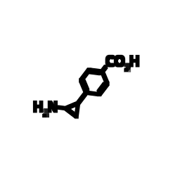 NC1CC1c1ccc(C(=O)O)cc1